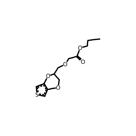 CCCOC(=O)COCC1COc2cscc2O1